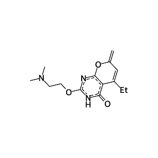 C=C1C=C(CC)c2c(nc(OCCN(C)C)[nH]c2=O)O1